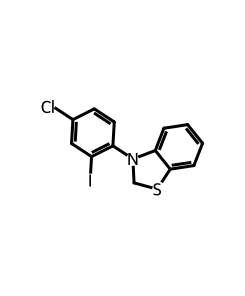 Clc1ccc(N2CSc3ccccc32)c(I)c1